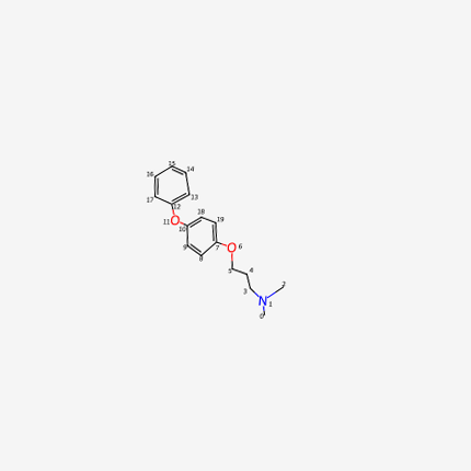 CN(C)CCCOc1ccc(Oc2ccccc2)cc1